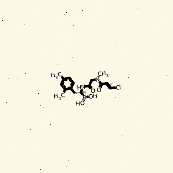 Cc1ccc(C[C@H](NC(=O)CN(C)C(=O)/C=C/Cl)B(O)O)c(C)c1